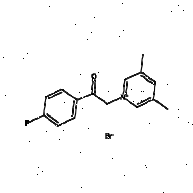 Cc1cc(C)c[n+](CC(=O)c2ccc(F)cc2)c1.[Br-]